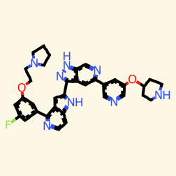 Fc1cc(OCCN2CCCC2)cc(-c2nccc3[nH]c(-c4n[nH]c5cnc(-c6cncc(OC7CCNCC7)c6)cc45)cc23)c1